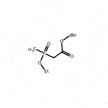 CCOP(C)(=O)CC(=O)OC(C)(C)C